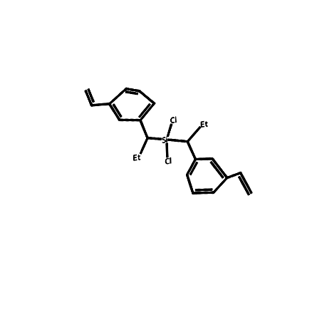 C=Cc1cccc(C(CC)[Si](Cl)(Cl)C(CC)c2cccc(C=C)c2)c1